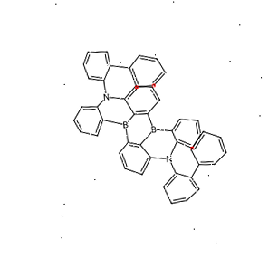 c1ccc(-c2ccccc2N2c3ccccc3B3c4cccc5c4B(c4ccccc4N5c4ccccc4-c4ccccc4)c4cccc2c43)cc1